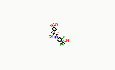 CC(O)(c1ccc(NC(=O)C2c3ccc(S(C)(=O)=O)cc3CN2C=O)cc1F)C(F)(F)F